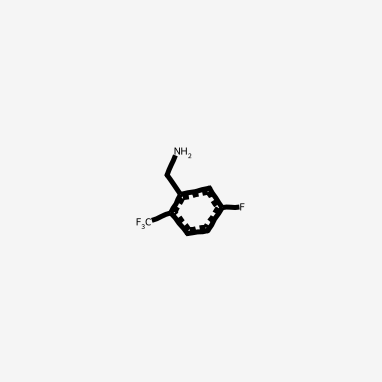 NCc1cc(F)ccc1C(F)(F)F